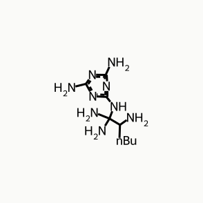 CCCCC(N)C(N)(N)Nc1nc(N)nc(N)n1